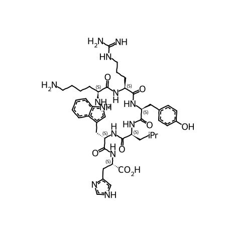 CC(C)C[C@H](NC(=O)[C@H](Cc1ccc(O)cc1)NC(=O)[C@H](CCCNC(=N)N)NC(=O)[C@@H](N)CCCCN)C(=O)N[C@@H](Cc1c[nH]c2ccccc12)C(=O)N[C@@H](Cc1c[nH]cn1)C(=O)O